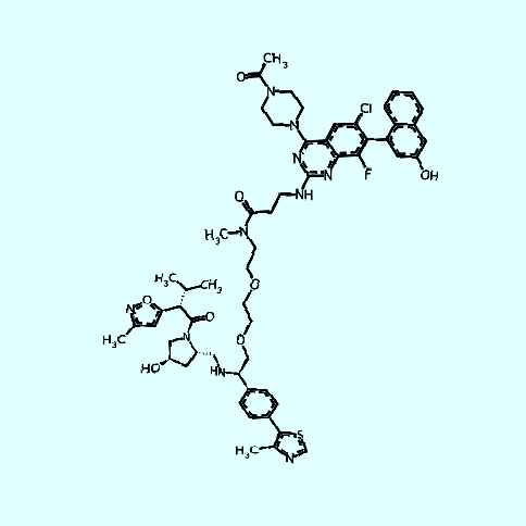 CC(=O)N1CCN(c2nc(NCCC(=O)N(C)CCOCCOC[C@H](NC[C@@H]3C[C@@H](O)CN3C(=O)[C@H](c3cc(C)no3)C(C)C)c3ccc(-c4scnc4C)cc3)nc3c(F)c(-c4cc(O)cc5ccccc45)c(Cl)cc23)CC1